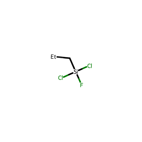 CCC[Si](F)(Cl)Cl